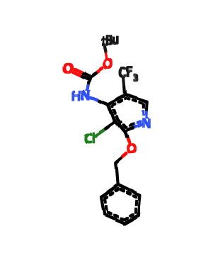 CC(C)(C)OC(=O)Nc1c(C(F)(F)F)cnc(OCc2ccccc2)c1Cl